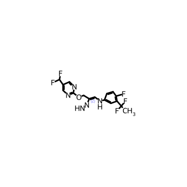 CC(F)(F)c1cc(N/C=C(/COc2ncc(C(F)F)cn2)N=N)ccc1F